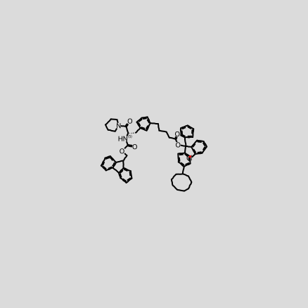 O=C(CCCCc1cccc(C[C@H](NC(=O)OCC2c3ccccc3-c3ccccc32)C(=O)N2CCCCC2)c1)OC(c1ccccc1)(c1ccc(C2CCCCCCCC2)cc1)c1ccccc1Cl